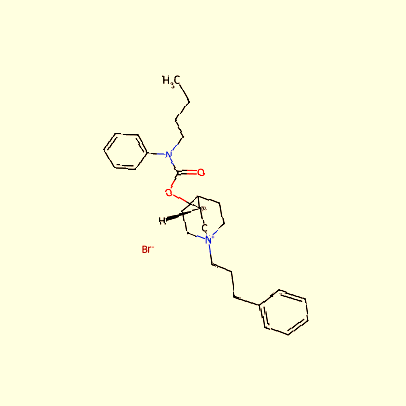 CCCCN(C(=O)O[C@H]1C[N+]2(CCCc3ccccc3)CCC1CC2)c1ccccc1.[Br-]